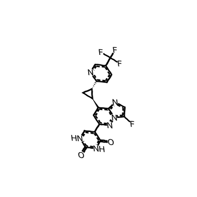 O=c1[nH]cc(-c2cc([C@H]3C[C@@H]3c3ccc(C(F)(F)F)cn3)c3ncc(F)n3n2)c(=O)[nH]1